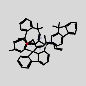 C=C/C=C(C)\C=C1/Cc2ccc(C)cc2C12c1ccccc1C1=CC=CC(N(C3=C/C(C)(C)c4ccccc4C(=C)/C=C\3)c3ccc4c(c3)C(C)(C)c3ccccc3-4)C12